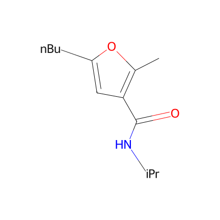 CCCCc1cc(C(=O)NC(C)C)c(C)o1